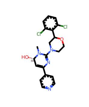 CN1C(N2CCOC(c3c(Cl)cccc3Cl)C2)=NC(c2ccncc2)=C[C@@H]1O